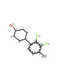 CCc1ccc(C2CCC(Br)CC2)c(F)c1F